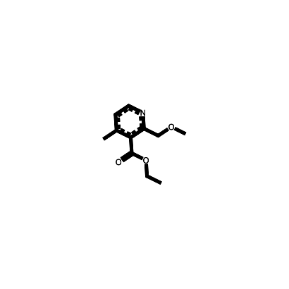 CCOC(=O)c1c(C)ccnc1COC